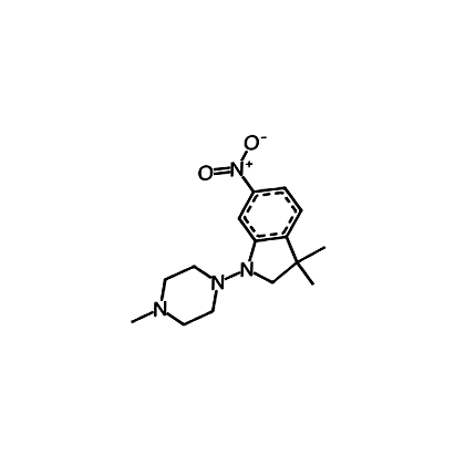 CN1CCN(N2CC(C)(C)c3ccc([N+](=O)[O-])cc32)CC1